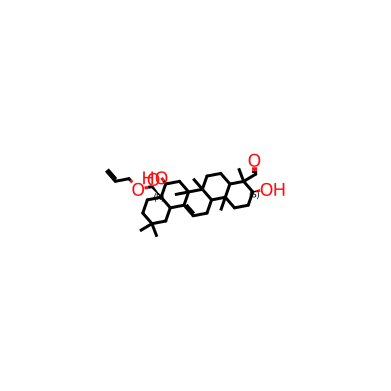 C=CCOC(=O)[C@]12CCC(C)(C)CC1C1=CCC3C4(C)CC[C@H](O)C(C)(C=O)C4CCC3(C)C1(C)CC2O